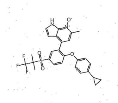 Cc1cc(-c2cc(S(=O)(=O)C(C)(C)C(F)(F)F)ccc2Oc2ccc(C3CC3)cc2)c2cc[nH]c2[n+]1[O-]